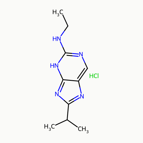 CCNc1ncc2nc(C(C)C)nc-2[nH]1.Cl